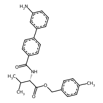 Cc1ccc(COC(=O)[C@@H](NC(=O)c2ccc(-c3cccc(N)c3)cc2)C(C)C)cc1